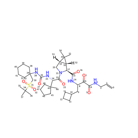 C=CCNC(=O)C(=O)C(CC1CCC1)NC(=O)[C@@H]1[C@@H]2[C@H](CN1C(=O)[C@@H](NC(=O)NC1(CS(=O)(=O)C(C)(C)C)CCCCC1)C1(C)CCCC1)C2(C)C